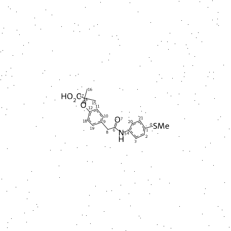 CSc1ccc(NC(=O)Cc2ccc(OC(C)(C)C(=O)O)cc2)cc1